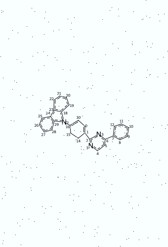 C1=C(c2nccc(-c3ccccc3)n2)CCC(n2c3ccccc3c3ccccc32)=C1